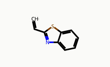 [CH]=Cc1nc2ccccc2s1